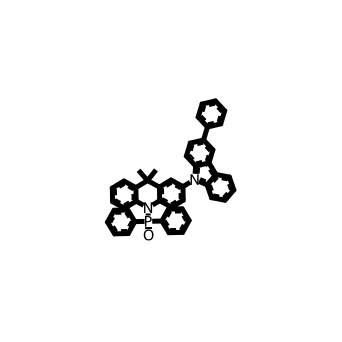 CC1(C)c2ccccc2N(P(=O)(c2ccccc2)c2ccccc2)c2ccc(-n3c4ccccc4c4cc(-c5ccccc5)ccc43)cc21